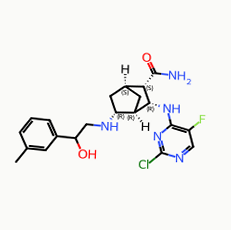 Cc1cccc(C(O)CN[C@@H]2C[C@@H]3C[C@H]2[C@@H](Nc2nc(Cl)ncc2F)[C@H]3C(N)=O)c1